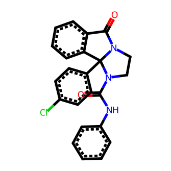 O=C(Nc1ccccc1)N1CCN2C(=O)c3ccccc3C12c1ccc(Cl)cc1